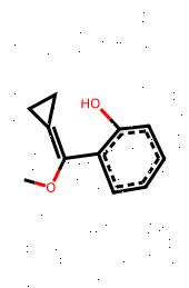 COC(=C1CC1)c1ccccc1O